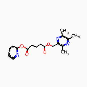 Cc1nc(C)c(COC(=O)CCCC(=O)Oc2ccccn2)nc1C